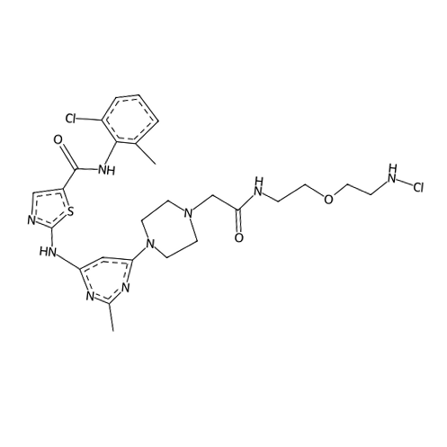 Cc1nc(Nc2ncc(C(=O)Nc3c(C)cccc3Cl)s2)cc(N2CCN(CC(=O)NCCOCCNCl)CC2)n1